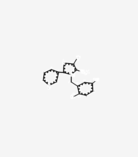 O=C(O)c1c(Br)nc(-c2cccnc2)n1Cc1cc(Cl)ccc1Cl